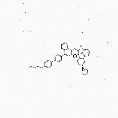 CCCCCc1ccc(-c2ccc(-c3cc4c(c5ccccc35)C=CC(c3ccc(N5CCCC5)cc3)(c3ccccc3F)O4)cc2)cc1